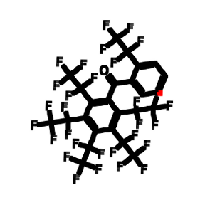 O=C(c1ccccc1C(F)(F)C(F)(F)F)c1c(C(F)(F)C(F)(F)F)c(C(F)(F)C(F)(F)F)c(C(F)(F)C(F)(F)F)c(C(F)(F)C(F)(F)F)c1C(F)(F)C(F)(F)F